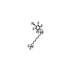 N#Cc1c(F)c(F)c(OC(F)(F)CCCCCCCCC(F)(F)F)c(F)c1F